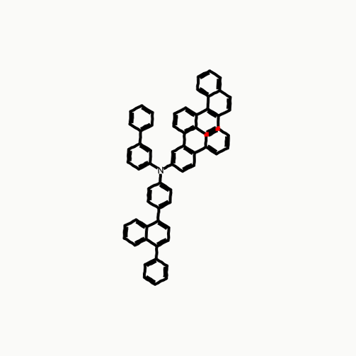 c1ccc(-c2cccc(N(c3ccc(-c4ccc(-c5ccccc5)c5ccccc45)cc3)c3ccc(-c4ccccc4)c(-c4cccc5c4ccc4ccc6ccccc6c45)c3)c2)cc1